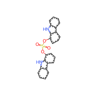 O=S(=O)(Oc1cccc2c1[nH]c1ccccc12)Oc1cccc2c1[nH]c1ccccc12